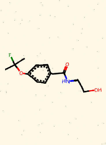 CC(C)(F)Oc1ccc(C(=O)NCCO)cc1